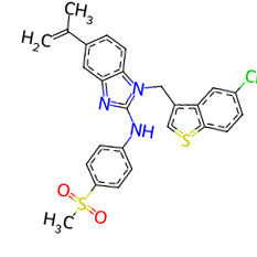 C=C(C)c1ccc2c(c1)nc(Nc1ccc(S(C)(=O)=O)cc1)n2Cc1csc2ccc(Cl)cc12